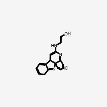 Cl.OCCNC1=CC2C3=CC=CCC3=NC23C=CC=CC3=N1